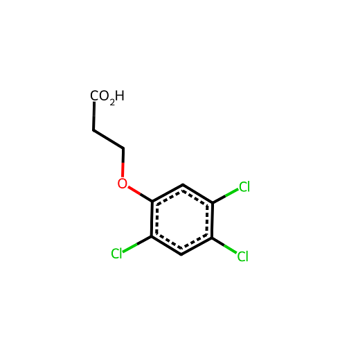 O=C(O)CCOc1cc(Cl)c(Cl)cc1Cl